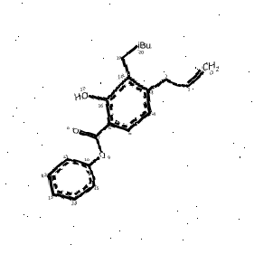 C=CCc1ccc(C(=O)Oc2ccccc2)c(O)c1CC(C)CC